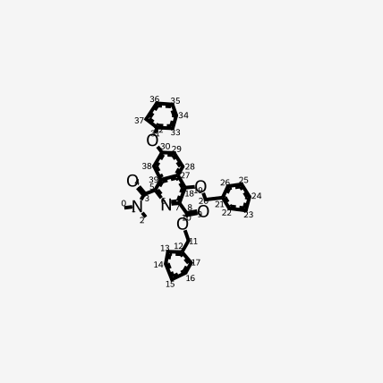 CN(C)C(=O)c1nc(C(=O)OCc2ccccc2)c(OCc2ccccc2)c2ccc(Oc3ccccc3)cc12